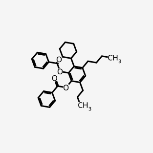 CCCCc1cc(CCC)c(OC(=O)c2ccccc2)c(OC(=O)c2ccccc2)c1C1CCCCC1